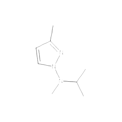 Cc1ccn(N(C)C(C)C)n1